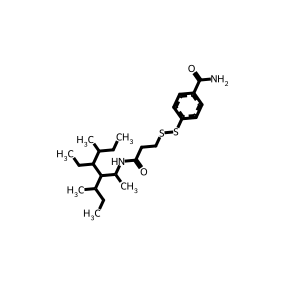 CCC(C)C(CC)C(C(C)CC)C(C)NC(=O)CCSSc1ccc(C(N)=O)cc1